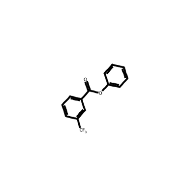 O=C(Oc1cc[c]cc1)c1cccc(C(F)(F)F)c1